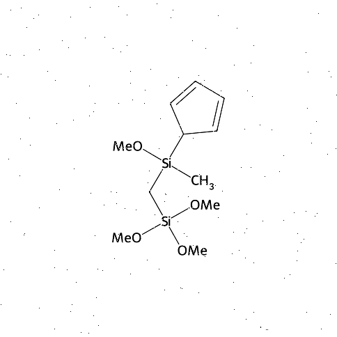 CO[Si](C[Si](C)(OC)C1C=CC=C1)(OC)OC